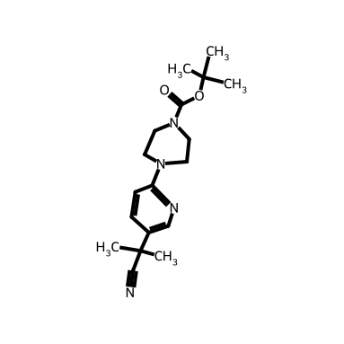 CC(C)(C)OC(=O)N1CCN(c2ccc(C(C)(C)C#N)cn2)CC1